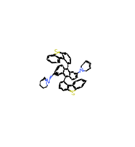 c1ccc2c(c1)sc1cccc(-c3c4ccc(N5CCCCC5)cc4c(-c4cccc5sc6ccccc6c45)c4ccc(N5CCCCC5)cc34)c12